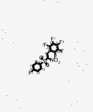 O=[N+]([O-])C(=Cc1c(F)c(F)c(F)c(F)c1F)S(=O)(=O)c1ccc(F)cc1